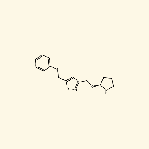 c1ccc(SCc2cc(CO[C@H]3CCCN3)no2)cc1